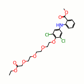 CCOC(=O)COCCOCCOCCOc1c(Cl)cc(Nc2ccccc2C(=O)OC)cc1Cl